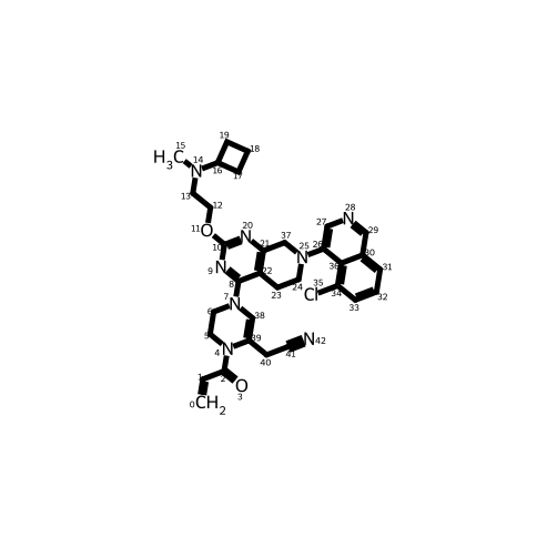 C=CC(=O)N1CCN(c2nc(OCCN(C)C3CCC3)nc3c2CCN(c2cncc4cccc(Cl)c24)C3)C=C1CC#N